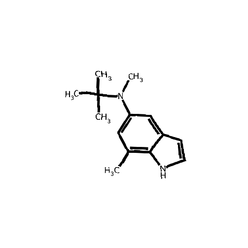 Cc1cc(N(C)C(C)(C)C)cc2cc[nH]c12